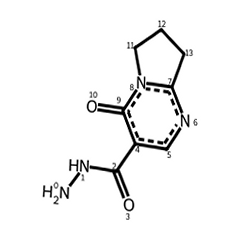 NNC(=O)c1cnc2n(c1=O)CCC2